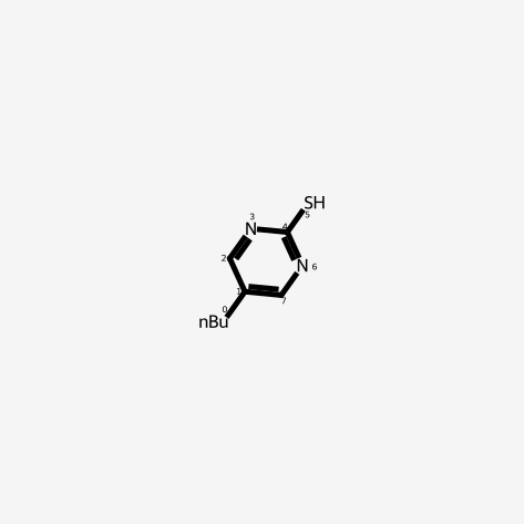 CCCCc1cnc(S)nc1